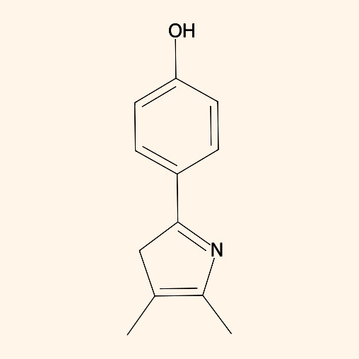 CC1=C(C)N=C(c2ccc(O)cc2)C1